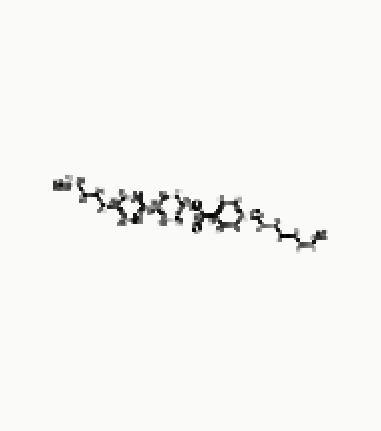 CC/C=C\CCCCOc1ccc(C(=O)Oc2ccc(-c3ncc(CCCC[C@@H](C)CC)cn3)cc2)cc1